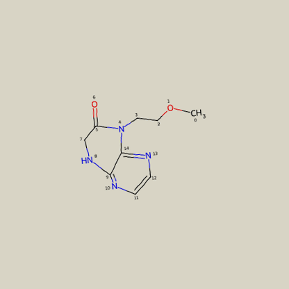 COCCN1C(=O)CNc2nccnc21